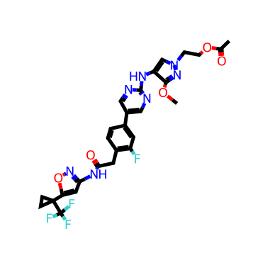 COc1nn(CCOC(C)=O)cc1Nc1ncc(-c2ccc(CC(=O)Nc3cc(C4(C(F)(F)F)CC4)on3)c(F)c2)cn1